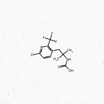 CC(C)(Cc1ccc(Cl)nc1C(F)(F)F)NC(=O)O